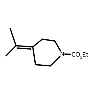 CCOC(=O)N1CCC(=C(C)C)CC1